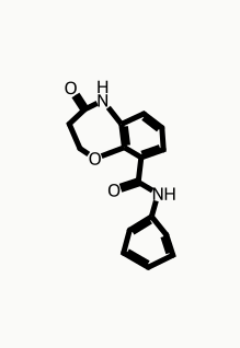 O=C1CCOc2c(cccc2C(=O)Nc2ccccc2)N1